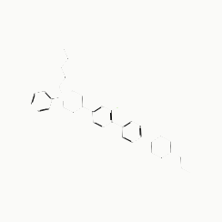 CCCCC[Si]1(c2ccccc2)CCC(c2ccc(-c3ccc([C@H]4CC[C@H](CCC)CC4)cc3)c(F)c2)CC1